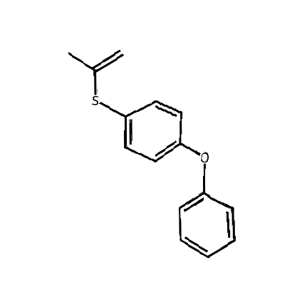 C=C(C)Sc1ccc(Oc2ccccc2)cc1